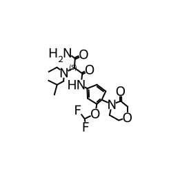 CCN(CC(C)C)[C@@H](C(N)=O)C(=O)Nc1ccc(N2CCOCC2=O)c(OC(F)F)c1